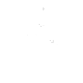 CC([C]=O)NC(=O)C(N)Cc1ccccc1